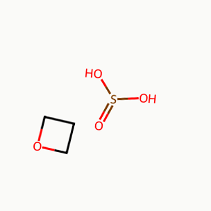 C1COC1.O=S(O)O